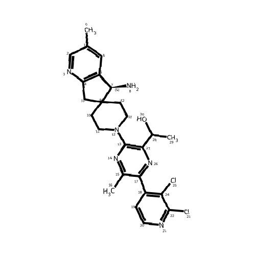 Cc1cnc2c(c1)[C@@H](N)C1(CCN(c3nc(C)c(-c4ccnc(Cl)c4Cl)nc3C(C)O)CC1)C2